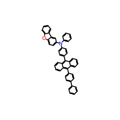 c1ccc(-c2ccc(-c3c4ccccc4c(-c4ccc(N(c5ccccc5)c5ccc6oc7ccccc7c6c5)cc4)c4ccccc34)cc2)cc1